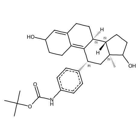 CC(C)(C)OC(=O)Nc1ccc([C@H]2C[C@]3(C)C(O)CC[C@H]3[C@@H]3CCC4=CC(O)CCC4=C32)cc1